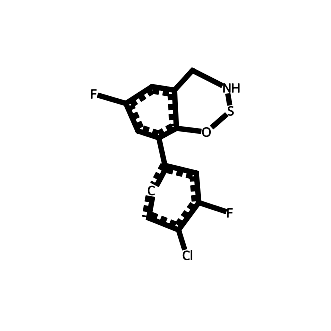 Fc1cc2c(c(-c3ccc(Cl)c(F)c3)c1)OSNC2